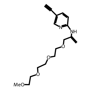 C#Cc1ccc(NC(=C)COCCOCCOCCOC)nc1